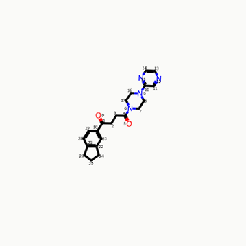 O=C(CCC(=O)N1CCN(c2cnccn2)CC1)c1ccc2c(c1)CCC2